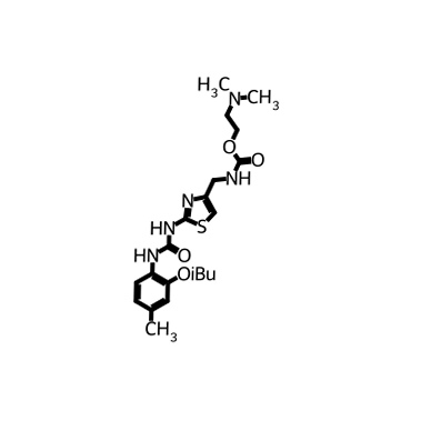 Cc1ccc(NC(=O)Nc2nc(CNC(=O)OCCN(C)C)cs2)c(OCC(C)C)c1